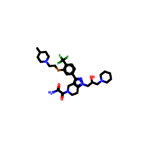 CC1CCN(CCSc2cc(-c3nn(CC(O)CN4CCCCC4)c4c3CN(C(=O)C(N)=O)CC4)ccc2C(F)(F)F)CC1